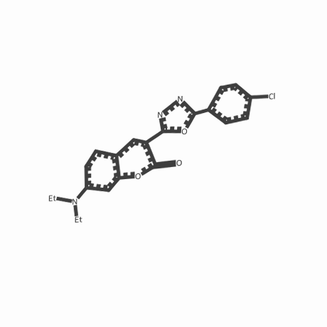 CCN(CC)c1ccc2cc(-c3nnc(-c4ccc(Cl)cc4)o3)c(=O)oc2c1